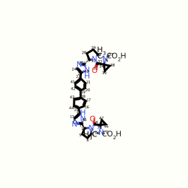 CN(C(=O)O)C1(C(=O)N2CCC[C@H]2c2ncc(-c3ccc(-c4ccc(-c5cnc([C@@H]6CCCN6C(=O)C6(N(C)C(=O)O)CC6)[nH]5)cc4)cc3)[nH]2)CC1